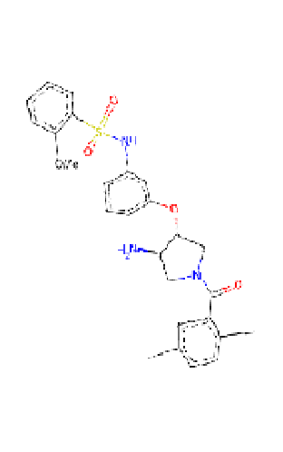 COc1ccccc1S(=O)(=O)Nc1cccc(O[C@@H]2CN(C(=O)c3cc(C)ccc3C)C[C@H]2N)c1